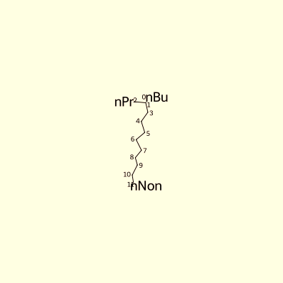 [CH2]CCCC(CCC)CCCCCCCCCCCCCCCCC